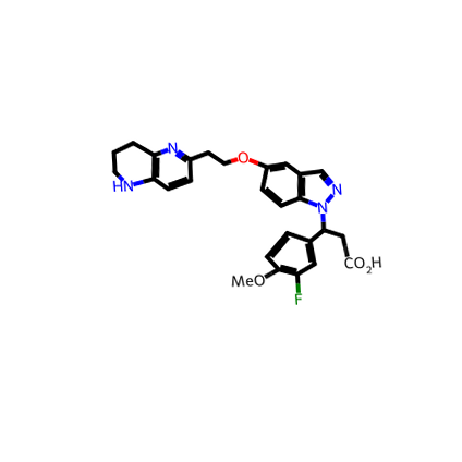 COc1ccc(C(CC(=O)O)n2ncc3cc(OCCc4ccc5c(n4)CCCN5)ccc32)cc1F